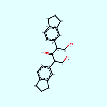 O=C(C(CO)c1ccc2c(c1)CCC2)C(CO)c1ccc2c(c1)CCC2